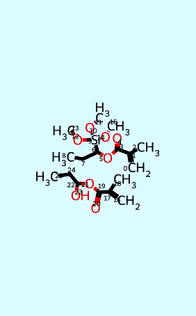 C=C(C)C(=O)OC(CC)[Si](OC)(OC)OC.C=C(C)C(=O)OC(O)CC